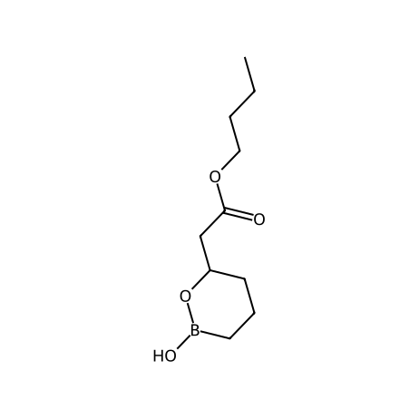 CCCCOC(=O)CC1CCCB(O)O1